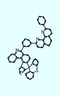 c1ccc(-c2ccc3ccc4ccc(-c5cccc(-c6nc7ccccc7c7c8c(ccc67)C6(c7ccccc7Sc7ccccc76)c6ccccc6-8)c5)nc4c3n2)cc1